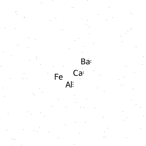 [Al].[Ba].[Ca].[Fe]